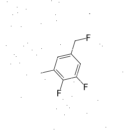 Cc1cc(CF)cc(F)c1F